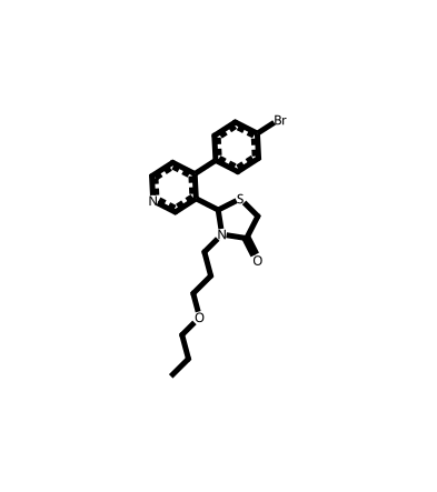 CCCOCCCN1C(=O)CSC1c1cnccc1-c1ccc(Br)cc1